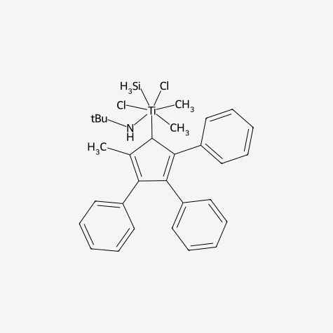 CC1=C(c2ccccc2)C(c2ccccc2)=C(c2ccccc2)[CH]1[Ti]([CH3])([CH3])([SiH3])([Cl])([Cl])[NH]C(C)(C)C